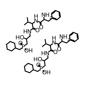 CC(C)C(NC(=O)C(N)Cc1ccccc1)C(=O)NCC(O)CP(=O)(O)CC1CCCCC1.CC(C)C(NC(=O)C(N)Cc1ccccc1)C(=O)NCC(O)CP(=O)(O)CC1CCCCC1